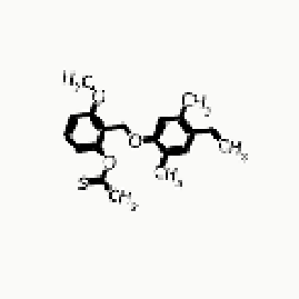 CCc1cc(C)c(OCc2c(OC)cccc2OC(C)=S)cc1C